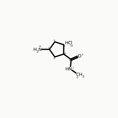 CNC(=O)C1CCC(N)C1.Cl